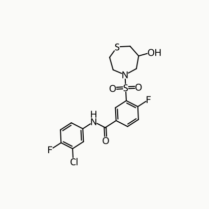 O=C(Nc1ccc(F)c(Cl)c1)c1ccc(F)c(S(=O)(=O)N2CCSCC(O)C2)c1